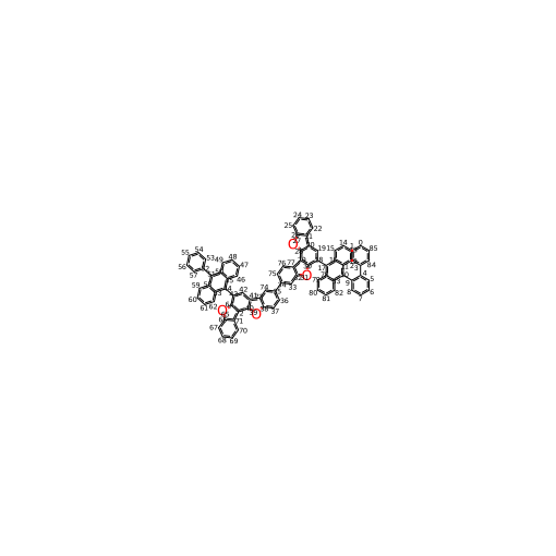 c1ccc(-c2ccccc2-c2c3ccccc3c(-c3cc4c5ccccc5oc4c4c3oc3cc(-c5ccc6oc7c(cc(-c8c9ccccc9c(-c9ccccc9)c9ccccc89)c8oc9ccccc9c87)c6c5)ccc34)c3ccccc23)cc1